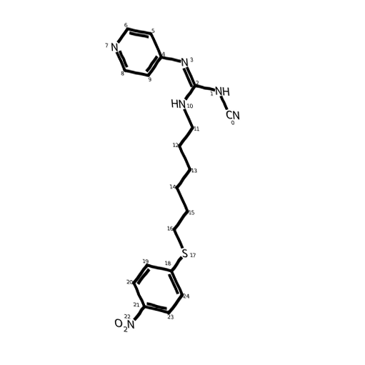 N#CNC(=Nc1ccncc1)NCCCCCCSc1ccc([N+](=O)[O-])cc1